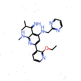 CCOc1ncccc1-c1cc(NCc2ncccn2)c(C(=N)C(C)C)c(NC)n1